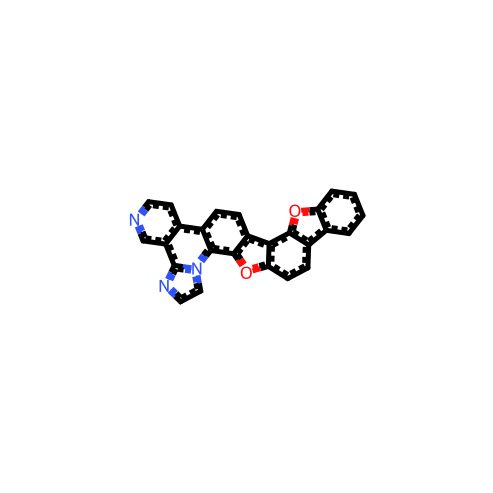 c1ccc2c(c1)oc1c2ccc2oc3c(ccc4c5ccncc5c5nccn5c43)c21